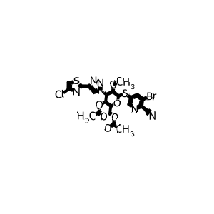 COC1C(Sc2cnc(C#N)c(Br)c2)OC(COC(C)=O)C(OC(C)=O)C1n1cc(-c2nc(Cl)cs2)nn1